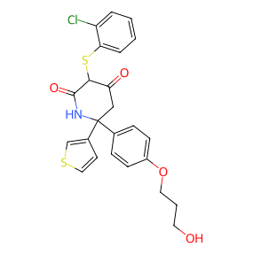 O=C1CC(c2ccc(OCCCO)cc2)(c2ccsc2)NC(=O)C1Sc1ccccc1Cl